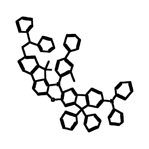 Cc1cc(-c2ccccc2)ccc1N1c2cc3c(cc2Oc2ccc4c(c21)C(C)(C)c1cc(CC(c2ccccc2)c2ccccc2)ccc1-4)C(c1ccccc1)(c1ccccc1)c1cc(N(c2ccccc2)c2ccccc2)ccc1-3